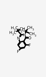 CC(C)(C)c1nc2cc(F)cc(F)c2c(=O)n1C(C)(C)C